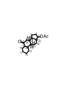 CC(=O)OC1CC[C@H]2[C@@H]3CC(=O)C4CCCC[C@]4(C)[C@@H]3CC[C@]12C